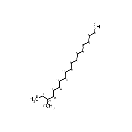 CCCCCCCCCCCCCCCCC(C)CC